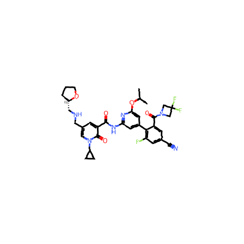 CC(C)Oc1cc(-c2c(F)cc(C#N)cc2C(=O)N2CC(F)(F)C2)cc(NC(=O)c2cc(CNC[C@@H]3CCCO3)cn(C3CC3)c2=O)n1